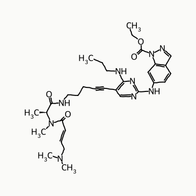 CCCNc1nc(Nc2ccc3cnn(C(=O)OCC)c3c2)ncc1C#CCCCNC(=O)[C@H](C)N(C)C(=O)/C=C/CN(C)C